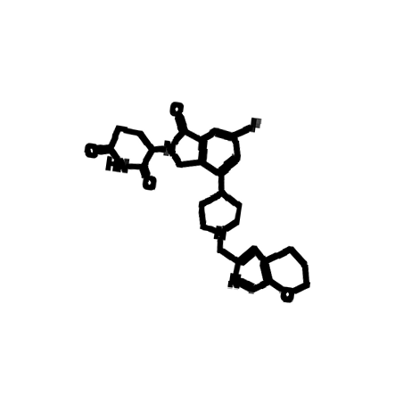 O=C1CCC(N2Cc3c(cc(F)cc3C3CCN(Cc4cc5c(cn4)OCCC5)CC3)C2=O)C(=O)N1